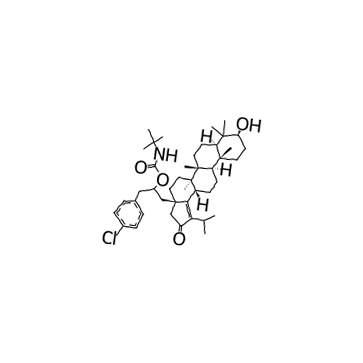 CC(C)C1=C2[C@H]3CC[C@@H]4[C@@]5(C)CC[C@H](O)C(C)(C)[C@@H]5CC[C@@]4(C)[C@]3(C)CC[C@@]2(CC(Cc2ccc(Cl)cc2)OC(=O)NC(C)(C)C)CC1=O